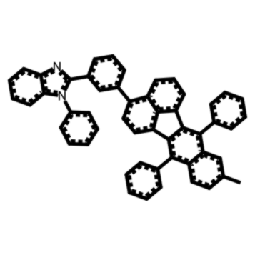 Cc1ccc2c(-c3ccccc3)c3c(c(-c4ccccc4)c2c1)-c1cccc2c(-c4cccc(-c5nc6ccccc6n5-c5ccccc5)c4)ccc-3c12